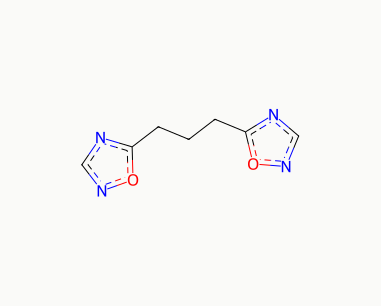 c1noc(CCCc2ncno2)n1